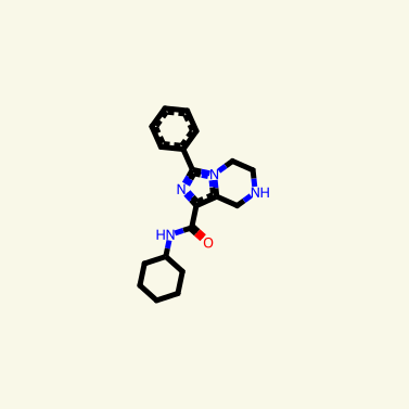 O=C(NC1CCCCC1)c1nc(-c2ccccc2)n2c1CNCC2